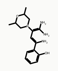 CC1CN(C(/C=C(\N)c2ccccc2O)=C(N)N)CC(C)O1